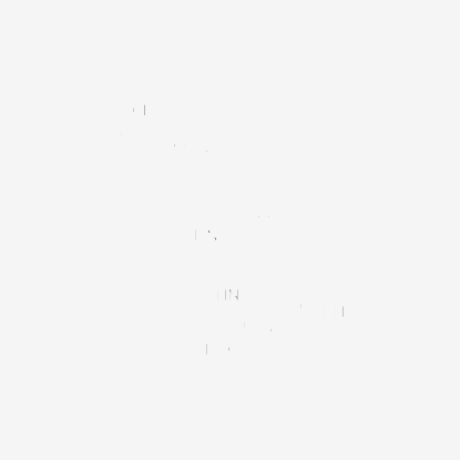 COCC(NC(=O)O)C(=O)NCc1cccc(OC)c1OC